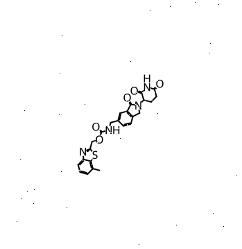 Cc1cccc2nc(COC(=O)NCc3ccc4c(c3)C(=O)N(C3CCC(=O)NC3=O)C4)sc12